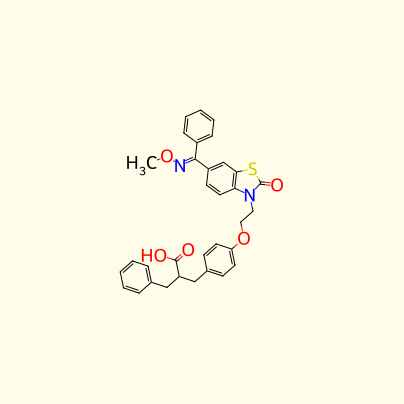 CON=C(c1ccccc1)c1ccc2c(c1)sc(=O)n2CCOc1ccc(CC(Cc2ccccc2)C(=O)O)cc1